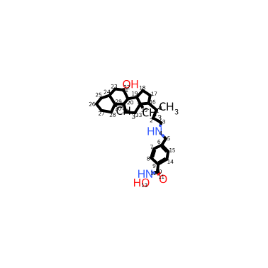 C[C@H](CCNCc1ccc(C(=O)NO)cc1)C1CCC2C3C(O)CC4CCCCC4(C)C3CCC21C